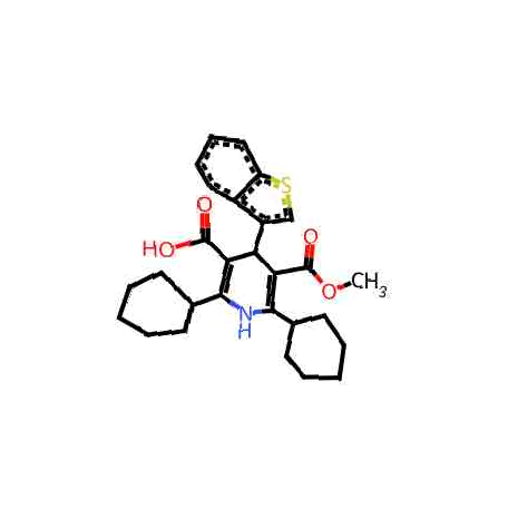 COC(=O)C1=C(C2CCCCC2)NC(C2CCCCC2)=C(C(=O)O)C1c1csc2ccccc12